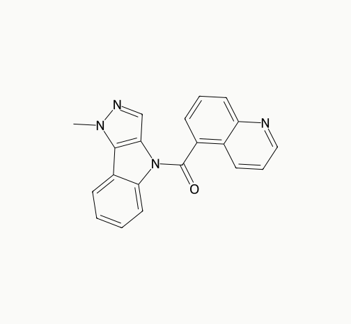 Cn1ncc2c1c1ccccc1n2C(=O)c1cccc2ncccc12